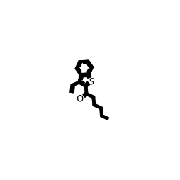 C=Cc1c(C(=O)CCCCC)sc2ccccc12